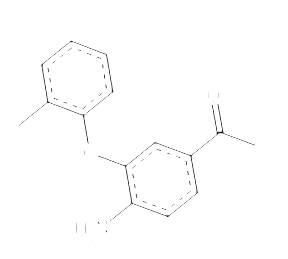 CC(=O)c1ccc(N)c(Oc2ccccc2C)c1